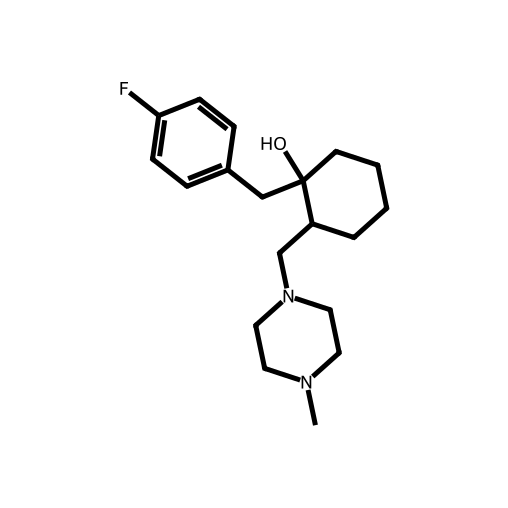 CN1CCN(CC2CCCCC2(O)Cc2ccc(F)cc2)CC1